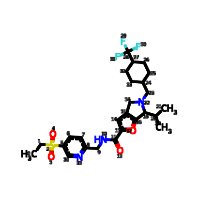 CCS(=O)(=O)c1ccc(CNC(=O)c2cc3c(o2)C(C(C)C)N(CC2CCC(C(F)(F)F)CC2)C3)nc1